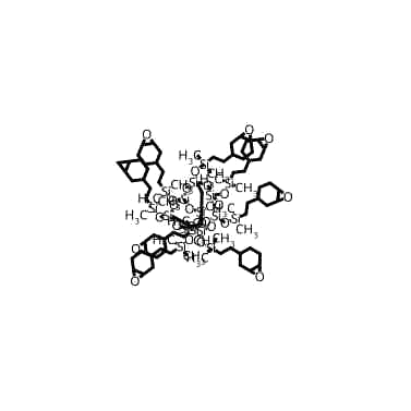 C[Si](C)(CCC1CCC2OC2C1)O[Si]12C[Si]3(O[Si](C)(C)CCC4CCC5OC5C4)O[Si]4(O[Si](C)(C)CCC5CCC6OC6C5)O[Si](O[Si](C)(C)CCC5CCC6CC6C5)(O1)O[Si]1(O[Si](C)(C)CCC5CCC6OC6C5)O[Si](O[Si](C)(C)CCC5CCC6OC6C5)(O2)O[Si](O[Si](C)(C)CCC2CCC5OC5C2)(O3)O[Si](O[Si](C)(C)CCC2CCC3OC3C2)(O4)O1